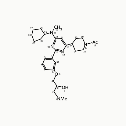 CNCC(O)COc1cccc(-c2nc(C3CCN(C(C)=O)CC3)cc(N(C)C3CCCCC3)n2)c1